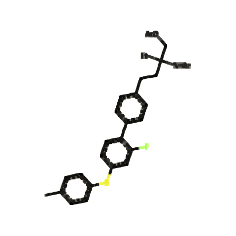 CCC(CCc1ccc(-c2ccc(Sc3ccc(C)cc3)cc2F)cc1)(COC(C)=O)NC(C)=O